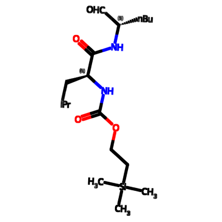 CCCC[C@@H](C=O)NC(=O)[C@H](CC(C)C)NC(=O)OCC[Si](C)(C)C